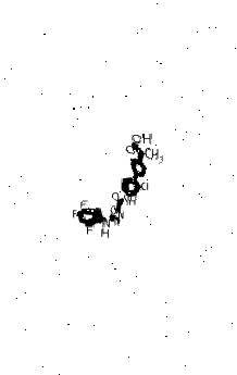 C[C@@H](C(=O)O)C1CCC(c2ccc(NC(=O)c3nnc(Nc4cc(F)c(F)cc4F)o3)cc2Cl)CC1